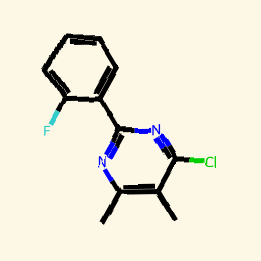 Cc1nc(-c2ccccc2F)nc(Cl)c1C